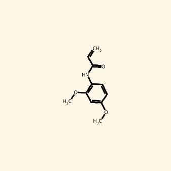 C=CC(=O)Nc1ccc(OC)cc1OC